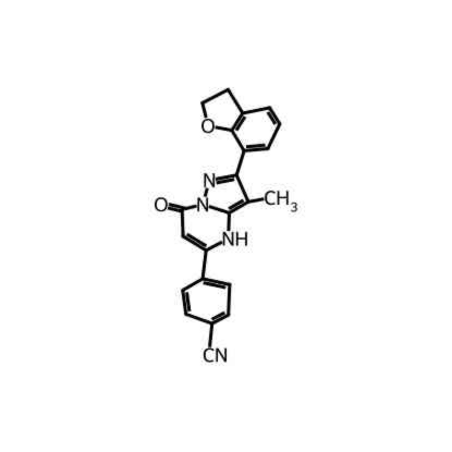 Cc1c(-c2cccc3c2OCC3)nn2c(=O)cc(-c3ccc(C#N)cc3)[nH]c12